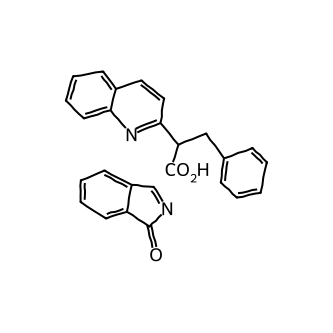 O=C(O)C(Cc1ccccc1)c1ccc2ccccc2n1.O=C1N=Cc2ccccc21